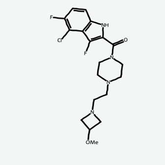 COC1CN(CCN2CCN(C(=O)c3[nH]c4ccc(F)c(Cl)c4c3F)CC2)C1